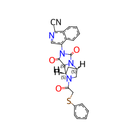 N#Cc1ncc(N2C(=O)[C@@H]3[C@@H]4C[C@@H](CN4C(=O)CSc4ccccc4)N3C2=O)c2ccccc12